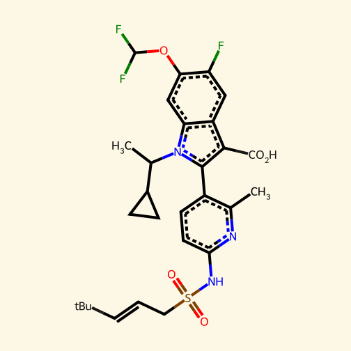 Cc1nc(NS(=O)(=O)CC=CC(C)(C)C)ccc1-c1c(C(=O)O)c2cc(F)c(OC(F)F)cc2n1C(C)C1CC1